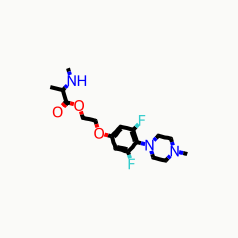 CNC(C)C(=O)OCCOc1cc(F)c(N2CCN(C)CC2)c(F)c1